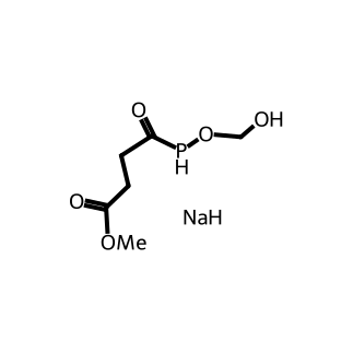 COC(=O)CCC(=O)POCO.[NaH]